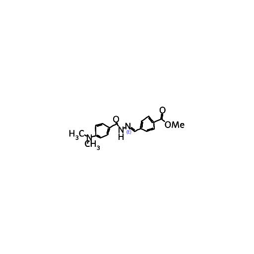 COC(=O)c1ccc(/C=N/NC(=O)c2ccc(N(C)C)cc2)cc1